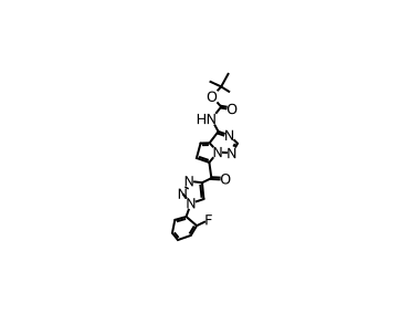 CC(C)(C)OC(=O)Nc1ncnn2c(C(=O)c3cn(-c4ccccc4F)nn3)ccc12